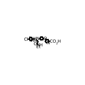 CCNC(=O)/C=C(\NCc1ccc(Cl)cc1)Nc1ccc(Oc2ccnc(C(=O)O)c2)cc1